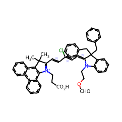 CC1(C)C(/C=C/C(Cl)=C/C=C2\N(CCOC=O)c3ccccc3C2(Cc2ccccc2)Cc2ccccc2)=[N+](CCC(=O)O)c2c1c1ccccc1c1ccccc21